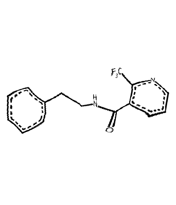 O=C(NCCc1ccccc1)c1cccnc1C(F)(F)F